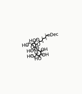 CCCCCCCCCCCCCCC(=O)O[C@H]1[C@H](O)[C@@H](CO)O[C@@]1(CO)O[C@H]1O[C@H](CO)[C@@H](O)[C@H](O)[C@H]1O